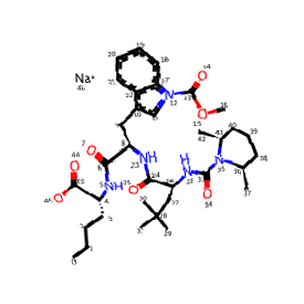 CCCC[C@@H](NC(=O)[C@@H](Cc1cn(C(=O)OC)c2ccccc12)NC(=O)[C@H](CC(C)(C)C)NC(=O)N1[C@H](C)CCC[C@@H]1C)C(=O)[O-].[Na+]